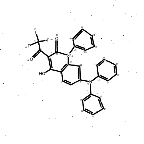 O=C(c1c(O)c2ccc(N(c3ccccc3)c3ccccc3)cc2n(-c2ccccc2)c1=O)C(F)(F)F